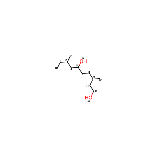 CCC(C)CC(O)CCC(C)CCO